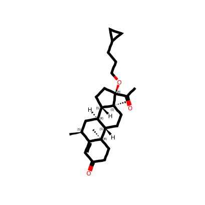 CC(=O)[C@@]1(OCCCC2CC2)CC[C@H]2[C@@H]3C[C@H](C)C4=CC(=O)CC[C@]4(C)[C@H]3CC[C@@]21C